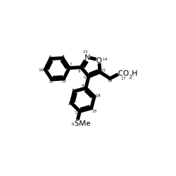 CSc1ccc(-c2c(-c3ccccc3)noc2CC(=O)O)cc1